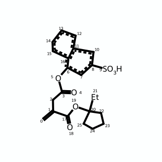 C=C(CC(=O)Oc1cc(S(=O)(=O)O)cc2ccccc12)C(=O)OC1(CC)CCCC1